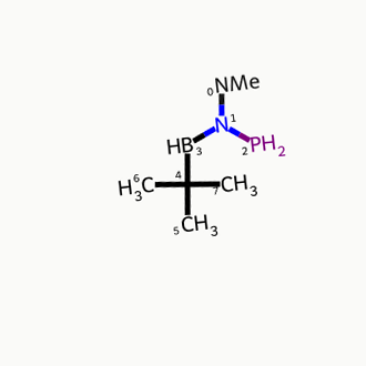 CNN(P)BC(C)(C)C